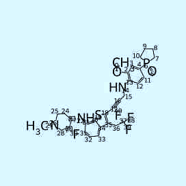 COc1cc(P2(=O)CCCC2)ccc1NCC#Cc1sc2c(N[C@H]3CCN(C)C[C@H]3F)cccc2c1CC(F)(F)F